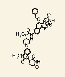 C=C(C(=O)Nc1ccc2c(F)c(N3CC(=O)NS3(=O)=O)c(OCc3ccccc3)cc2c1)C1CCN(c2ccc3c(c2)n(C)c(=O)n3C2CCC(=O)NC2=O)CC1